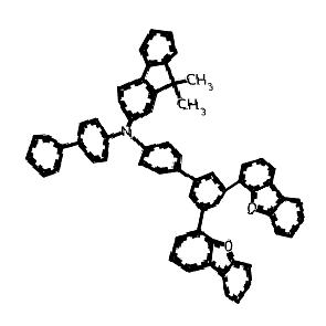 CC1(C)c2ccccc2-c2ccc(N(c3ccc(-c4ccccc4)cc3)c3ccc(-c4cc(-c5cccc6c5oc5ccccc56)cc(-c5cccc6c5oc5ccccc56)c4)cc3)cc21